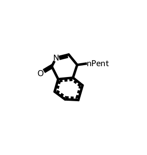 CCCCCC1C=NC(=O)c2ccccc21